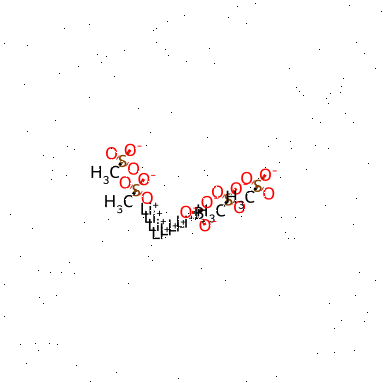 CS(=O)(=O)[O-].CS(=O)(=O)[O-].CS(=O)(=O)[O-].CS(=O)(=O)[O-].[Li+].[Li+].[Li+].[Li+].[Li+].[Li+].[Li+].[O-]B([O-])[O-]